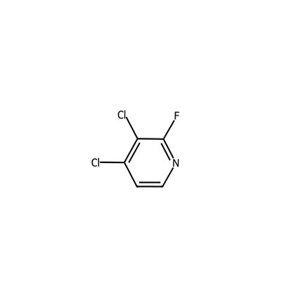 Fc1nccc(Cl)c1Cl